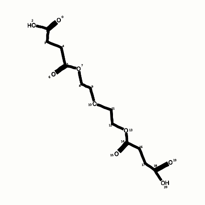 O=C(O)CCC(=O)OCCOCCOC(=O)CCC(=O)O